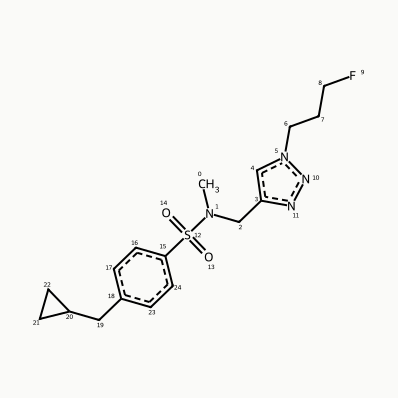 CN(Cc1cn(CCCF)nn1)S(=O)(=O)c1ccc(CC2CC2)cc1